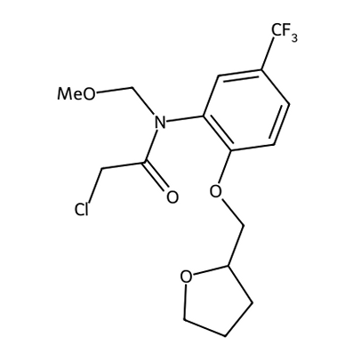 COCN(C(=O)CCl)c1cc(C(F)(F)F)ccc1OCC1CCCO1